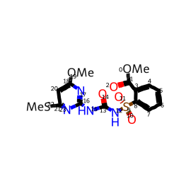 COC(=O)c1ccccc1S(=O)(=O)NC(=O)Nc1nc(OC)cc(SC)n1